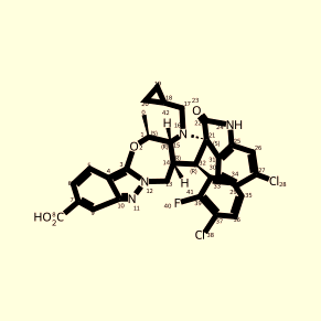 C[C@@H]1Oc2c3ccc(C(=O)O)cc3nn2C[C@@H]2[C@H]1N(CC1CC1)[C@@]1(C(=O)Nc3cc(Cl)ccc31)[C@H]2c1cccc(Cl)c1F